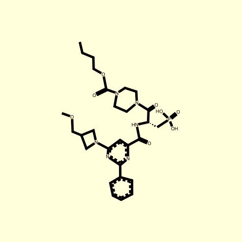 CCCCOC(=O)N1CCN(C(=O)[C@H](CP(=O)(O)O)NC(=O)c2cc(N3CC(COC)C3)nc(-c3ccccc3)n2)CC1